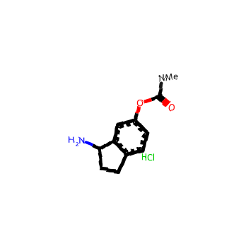 CNC(=O)Oc1ccc2c(c1)C(N)CC2.Cl